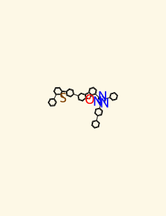 c1ccc(-c2ccc(-c3nc(-c4ccccc4)nc(-c4cccc5c4oc4ccc(-c6ccc7c(c6)sc6c(-c8ccccc8)cccc67)cc45)n3)cc2)cc1